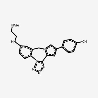 CNCCNc1ccc2c(c1)Cn1cc(-c3ccc(C#N)cc3)cc1-c1nnnn1-2